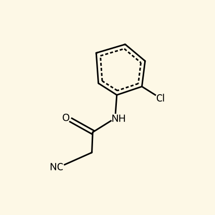 N#CCC(=O)Nc1ccccc1Cl